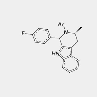 CC(=O)N1[C@@H](c2ccc(F)cc2)c2[nH]c3ccccc3c2C[C@@H]1C